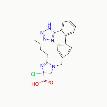 CCCCC1=NC(Cl)(C(=O)O)CN1Cc1ccc(-c2ccccc2-c2nnn[nH]2)cc1